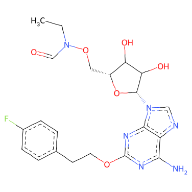 CCN(C=O)OC[C@H]1O[C@@H](n2cnc3c(N)nc(OCCc4ccc(F)cc4)nc32)C(O)C1O